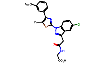 COc1cccc(-c2nc(-n3nc(CC(=O)NCC(=O)O)c4cc(Cl)ccc43)sc2C(C)C)c1